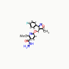 COc1nc(OCc2c(-c3ccc(F)cc3)noc2C)ccc1C(=O)NN